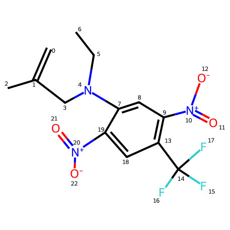 C=C(C)CN(CC)c1cc([N+](=O)[O-])c(C(F)(F)F)cc1[N+](=O)[O-]